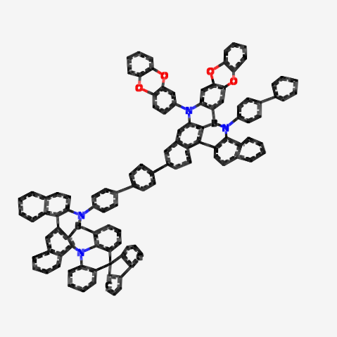 c1ccc(-c2ccc(N3B4c5cc6c(cc5N(c5ccc7c(c5)Oc5ccccc5O7)c5cc7cc(-c8ccc(-c9ccc(N%10B%11c%12cccc%13c%12N(c%12ccccc%12C%13%12c%13ccccc%13-c%13ccccc%13%12)c%12c%11c(cc%11ccccc%12%11)-c%11c%10ccc%10ccccc%11%10)cc9)cc8)ccc7c(c54)-c4ccc5ccccc5c43)Oc3ccccc3O6)cc2)cc1